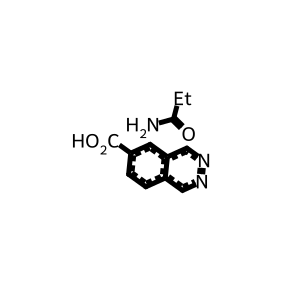 CCC(N)=O.O=C(O)c1ccc2cnncc2c1